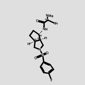 CN[C@H](C(=O)N[C@H]1CC[C@@H]2CN(S(=O)(=O)c3ccc(F)cc3)C[C@@H]21)C(C)C